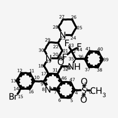 CS(=O)(=O)c1ccc2nc(-c3cccc(Br)c3)c(CN3CCC(N4CCCCC4)CC3)c(C(=O)N[C@H](c3ccccc3)C(F)(F)F)c2c1